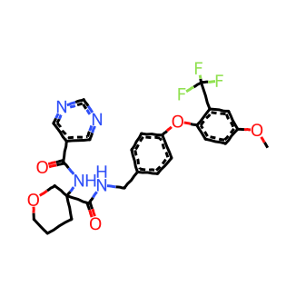 COc1ccc(Oc2ccc(CNC(=O)C3(NC(=O)c4cncnc4)CCCOC3)cc2)c(C(F)(F)F)c1